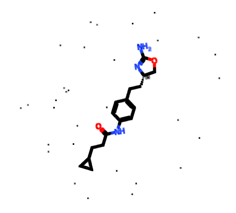 NC1=N[C@@H](CCc2ccc(NC(=O)CCC3CC3)cc2)CO1